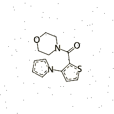 O=C(c1sccc1-n1cccc1)N1CCOCC1